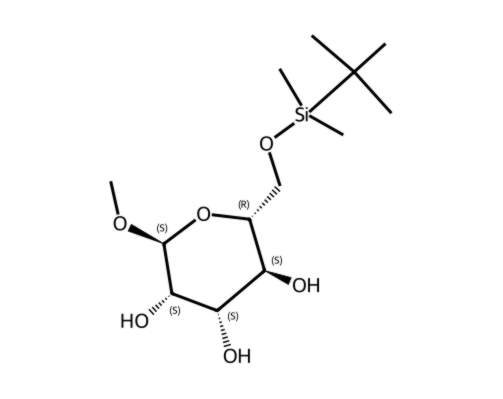 CO[C@H]1O[C@H](CO[Si](C)(C)C(C)(C)C)[C@@H](O)[C@H](O)[C@@H]1O